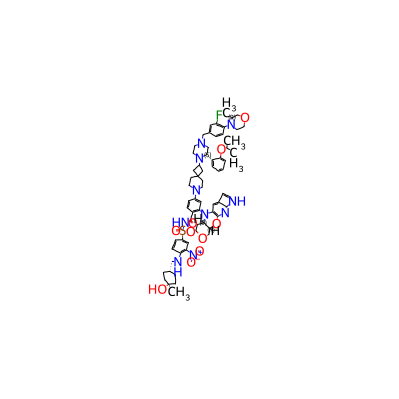 CC(C)Oc1ccccc1[C@H]1CN(Cc2ccc(N3CCOC[C@H]3C)c(F)c2)CCN1C1CC2(CCN(c3ccc(C(=O)NS(=O)(=O)c4ccc(NC[C@H]5CC[C@](C)(O)CC5)c([N+](=O)[O-])c4)c(N4c5cc6cc[nH]c6nc5O[C@H]5COCC[C@@H]54)c3)CC2)C1